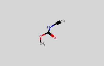 C#CNC(=O)OC